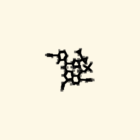 Cc1c(C#N)cccc1C(Nc1cc(C#N)c2ncc(C#N)c(NCC(C)(C)C)c2c1)c1cn(C2(C3CC3)CC2)nn1